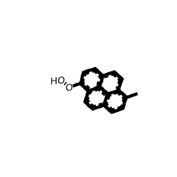 Cc1ccc2ccc3c(OO)ccc4ccc1c2c43